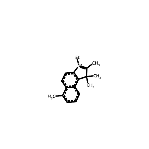 CC[N+]1=C(C)C(C)(C)c2c1ccc1c(C)cccc21